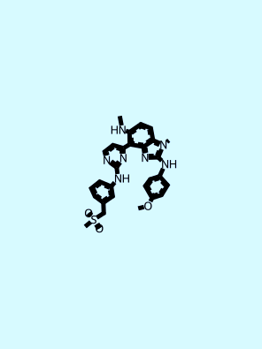 CNc1ccc2c(nc(Nc3ccc(OC)cc3)n2C)c1-c1ccnc(Nc2cccc(CS(C)(=O)=O)c2)n1